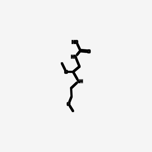 COCCNC(CNC(=O)O)OC